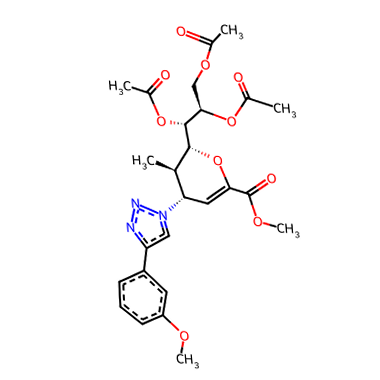 COC(=O)C1=C[C@H](n2cc(-c3cccc(OC)c3)nn2)[C@@H](C)[C@H]([C@H](OC(C)=O)[C@@H](COC(C)=O)OC(C)=O)O1